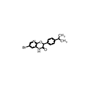 CC(C)c1ccc(C2Oc3ncc(Br)cc3NC2=O)cc1